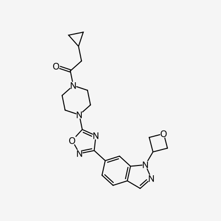 O=C(CC1CC1)N1CCN(c2nc(-c3ccc4cnn(C5COC5)c4c3)no2)CC1